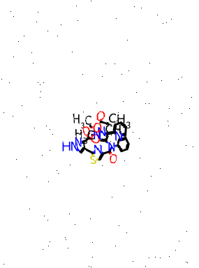 CC(OC(=O)c1n[nH]cc1-c1nc(C(=O)N(c2ccccc2)c2cn(C)nc2-c2ccccn2)cs1)OC(=O)C(C)C